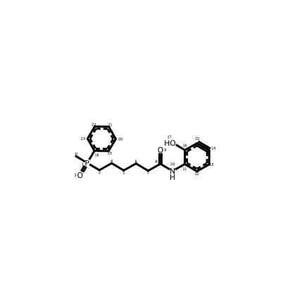 CP(=O)(CCCCCC(=O)Nc1ccc#cc1O)c1ccccc1